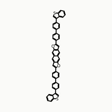 c1ccc2c(-c3ccc(-c4ccc(-c5cc6cc7cc8oc(-c9ccc(-c%10ccc(-c%11csc%12ccccc%11%12)cc%10)cc9)cc8cc7cc6o5)cc4)cc3)csc2c1